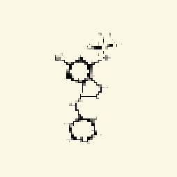 CS(=O)(=O)Nc1cc(Br)cc2c1CCN2Cc1ccccc1